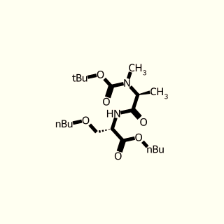 CCCCOC[C@H](NC(=O)[C@H](C)N(C)C(=O)OC(C)(C)C)C(=O)OCCCC